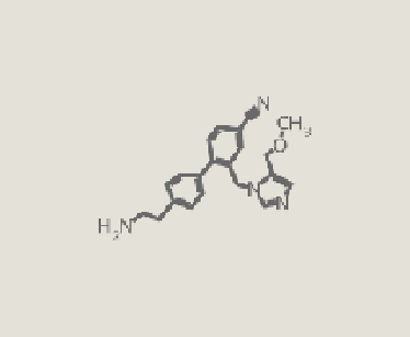 COCc1cncn1Cc1cc(C#N)ccc1-c1ccc(CCN)cc1